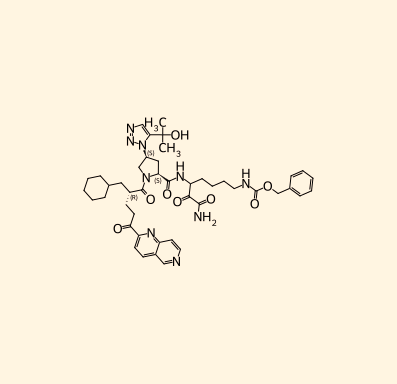 CC(C)(O)c1cnnn1[C@H]1C[C@@H](C(=O)NC(CCCCNC(=O)OCc2ccccc2)C(=O)C(N)=O)N(C(=O)[C@H](CCC(=O)c2ccc3cnccc3n2)CC2CCCCC2)C1